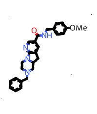 COc1ccc(CNC(=O)c2cnc3c(c2)CC2CN(Cc4ccccc4)CCN32)cc1